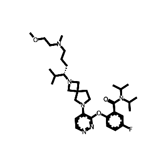 COCCN(C)CCC[C@@H](C(C)C)N1CC2(CCN(c3ccnnc3Oc3ccc(F)cc3C(=O)N(C(C)C)C(C)C)C2)C1